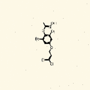 CCc1cc(OCC=C(Cl)Cl)cc(CC)c1OC(C)=NO